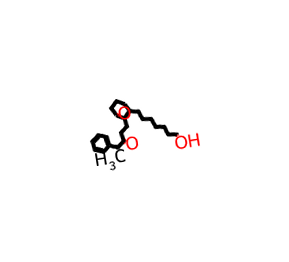 CC(C(=O)CCC1C2CCC(O2)C1CCCCCCCO)c1ccccc1